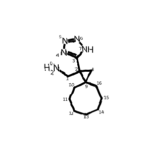 NCC1(c2nnn[nH]2)CC12CCCCCCC2